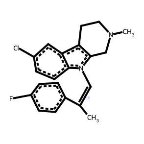 C/C(=C/n1c2c(c3cc(Cl)ccc31)CCN(C)C2)c1ccc(F)cc1